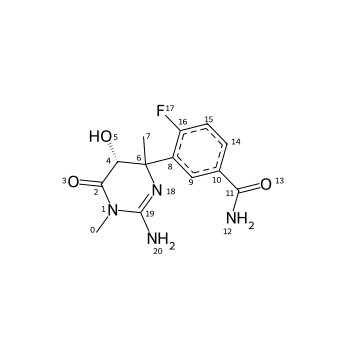 CN1C(=O)[C@H](O)C(C)(c2cc(C(N)=O)ccc2F)N=C1N